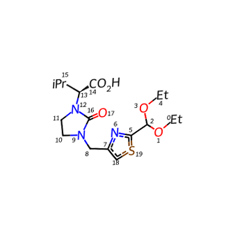 CCOC(OCC)c1nc(CN2CCN([C@H](C(=O)O)C(C)C)C2=O)cs1